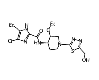 CCO[C@H]1CN(c2nnc(CO)s2)CC[C@H]1NC(=O)c1nc(Cl)c(CC)[nH]1